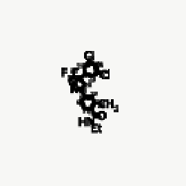 CCNC(=O)c1ccc(C2=NO[C@](c3cc(Cl)cc(Cl)c3)(C(F)(F)F)C2)cc1C